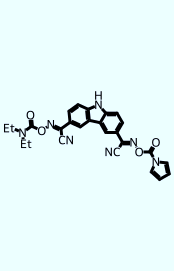 CCN(CC)C(=O)O/N=C(\C#N)c1ccc2[nH]c3ccc(/C(C#N)=N/OC(=O)n4cccc4)cc3c2c1